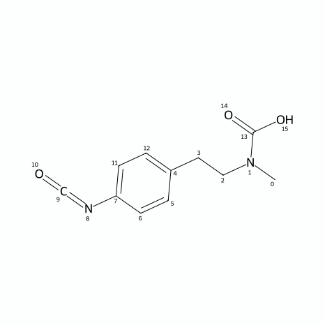 CN(CCc1ccc(N=C=O)cc1)C(=O)O